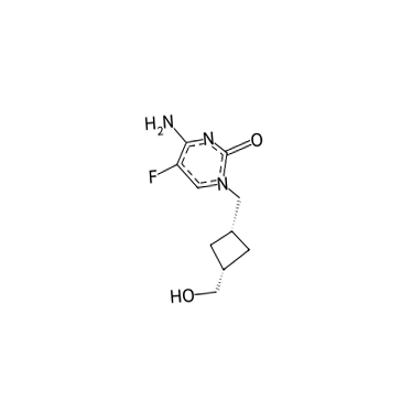 Nc1nc(=O)n(C[C@H]2C[C@@H](CO)C2)cc1F